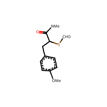 CNC(=O)C(Cc1ccc(OC)cc1)SC=O